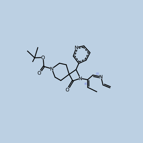 C=C/N=C\C(=C/C)N1C(=O)C2(CCN(C(=O)OC(C)(C)C)CC2)C1c1cccnc1